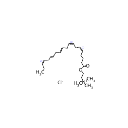 CC/C=C\CC=CCC=CC/C=C\C/C=C\CCCC(=O)OCC[N+](C)(C)C.[Cl-]